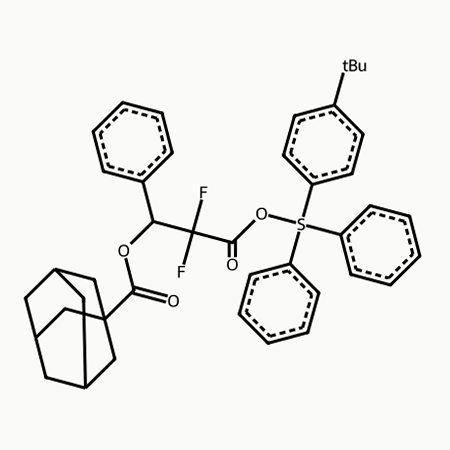 CC(C)(C)c1ccc(S(OC(=O)C(F)(F)C(OC(=O)C23CC4CC(CC(C4)C2)C3)c2ccccc2)(c2ccccc2)c2ccccc2)cc1